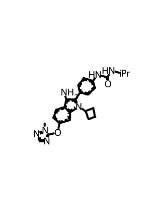 CC(C)NC(=O)Nc1ccc(-c2c(N)c3ccc(Oc4ncnn4C)cc3n2C2CCC2)cc1